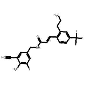 C#Cc1cc(CNC(=O)/C=C/c2ccc(C(F)(F)F)cc2CCC)cc(F)c1C